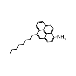 CCCCCCCCc1cc2ccc(N)c3ccc4cccc1c4c23